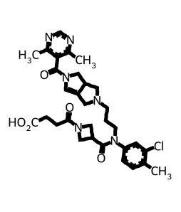 Cc1ccc(N(CCCN2CC3=CN(C(=O)c4c(C)ncnc4C)CC3C2)C(=O)C2CN(C(=O)CCC(=O)O)C2)cc1Cl